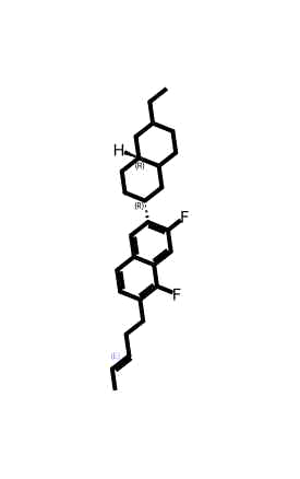 C/C=C/CCc1ccc2cc([C@@H]3CC[C@@H]4CC(CC)CCC4C3)c(F)cc2c1F